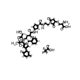 CC(C)(C)[C@H](c1cc(-c2cc(F)ccc2F)cn1Cc1ccccc1)N(CC[C@H](N)C(=O)N[C@H]1CC[C@@H](C(=O)NCCN2C(=O)CC(SC[C@H](N)C(=O)O)C2=O)C1)C(=O)CO.O=C(O)C(F)(F)F